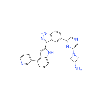 NC1CN(c2cncc(-c3ccc4[nH]nc(-c5cc6c(-c7cccnc7)cccc6[nH]5)c4c3)n2)C1